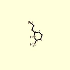 CC(C)CCC1CCCC(C)N1